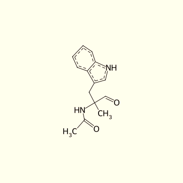 CC(=O)NC(C)(C=O)Cc1c[nH]c2ccccc12